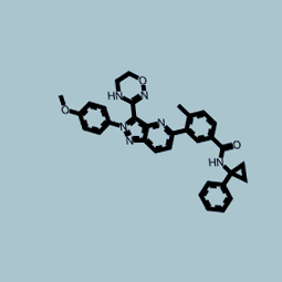 COc1ccc(-n2nc3ccc(-c4cc(C(=O)NC5(c6ccccc6)CC5)ccc4C)nc3c2C2=NOCCN2)cc1